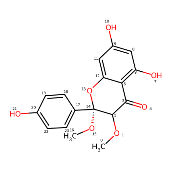 COC1C(=O)c2c(O)cc(O)cc2O[C@]1(OC)c1ccc(O)cc1